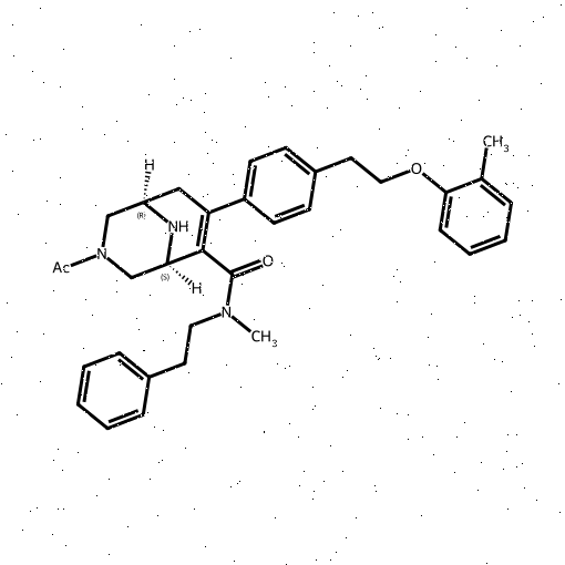 CC(=O)N1C[C@H]2CC(c3ccc(CCOc4ccccc4C)cc3)=C(C(=O)N(C)CCc3ccccc3)[C@@H](C1)N2